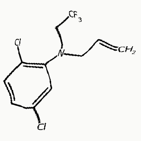 C=CCN(CC(F)(F)F)c1cc(Cl)ccc1Cl